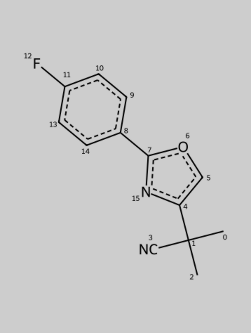 CC(C)(C#N)c1coc(-c2ccc(F)cc2)n1